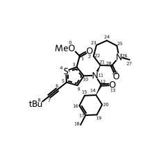 COC(=O)c1sc(C#CC(C)(C)C)cc1N(C(=O)[C@@H]1CC=C(C)CC1)[C@H]1CCCCN(C)C1=O